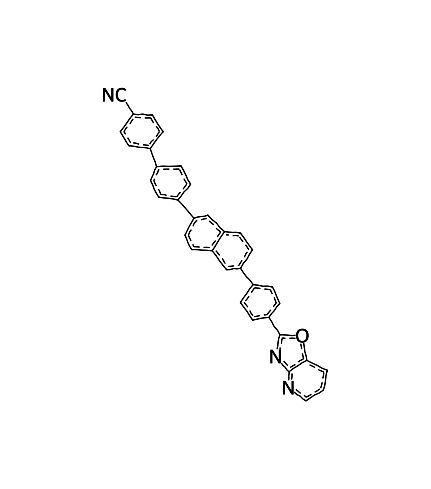 N#Cc1ccc(-c2ccc(-c3ccc4cc(-c5ccc(-c6nc7ncccc7o6)cc5)ccc4c3)cc2)cc1